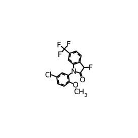 COc1ccc(Cl)cc1N1C(=O)C(F)c2ccc(C(F)(F)F)cc21